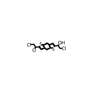 O=C(CCl)c1cc2cc3sc(C(O)CCl)cc3cc2s1